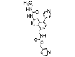 CCNC(=O)Nc1cc2c(-c3ccncc3)ccc(CNC(=O)OCc3cccnc3)c2cn1